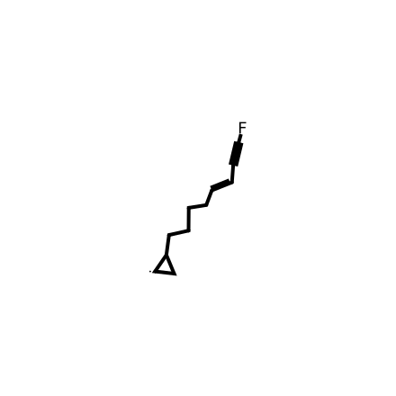 FC#CC=CCCCCC1[CH]C1